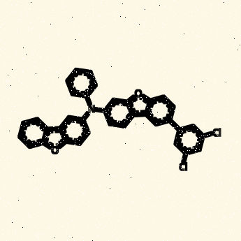 Clc1cc(Cl)cc(-c2ccc3oc4cc(N(c5ccccc5)c5ccc6oc7ccccc7c6c5)ccc4c3c2)c1